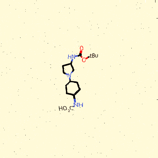 CC(C)(C)OC(=O)NC1CCN(C2CCC(NC(=O)O)CC2)C1